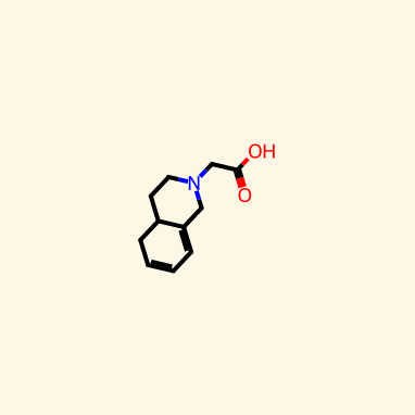 O=C(O)CN1CCC2CC=CC=C2C1